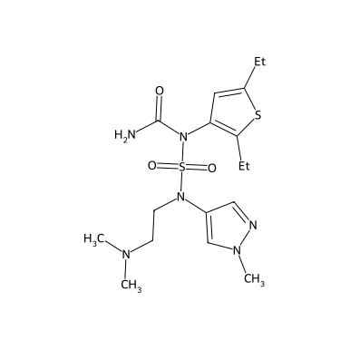 CCc1cc(N(C(N)=O)S(=O)(=O)N(CCN(C)C)c2cnn(C)c2)c(CC)s1